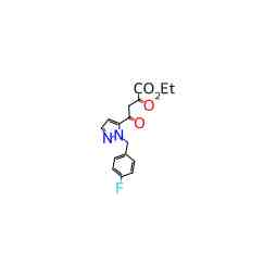 CCOC(=O)C(=O)CC(=O)c1ccnn1Cc1ccc(F)cc1